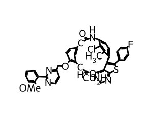 COc1ccccc1-c1nccc(COc2ccc3cc2C[C@H](C(=O)O)Oc2ncnc4sc(-c5ccc(F)cc5)c(c24)-c2ccc(c(Cl)c2C)NC(=O)C3)n1